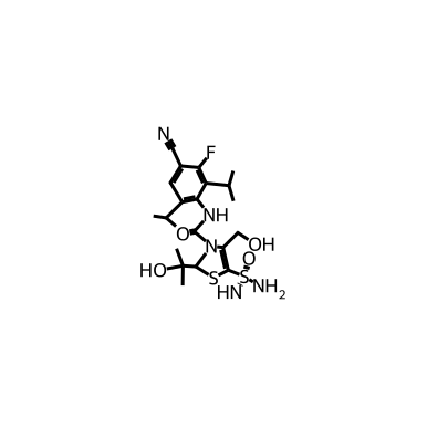 CC(C)c1cc(C#N)c(F)c(C(C)C)c1NC(=O)N1C(CO)=C(S(=N)(N)=O)SC1C(C)(C)O